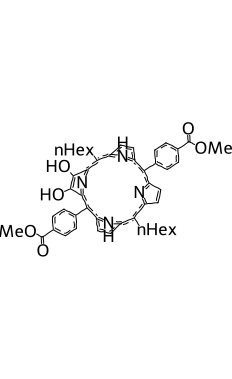 CCCCCCc1c2nc(c(-c3ccc(C(=O)OC)cc3)c3ccc([nH]3)c(CCCCCC)c3nc(c(-c4ccc(C(=O)OC)cc4)c4ccc1[nH]4)C(O)=C3O)C=C2